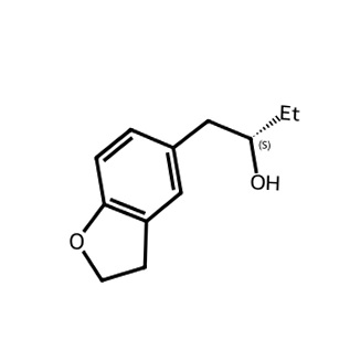 CC[C@H](O)Cc1ccc2c(c1)CCO2